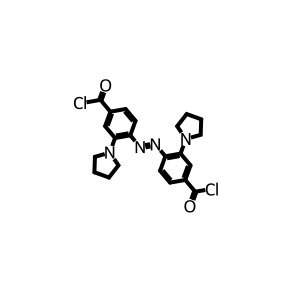 O=C(Cl)c1ccc(/N=N/c2ccc(C(=O)Cl)cc2N2CCCC2)c(N2CCCC2)c1